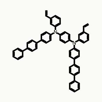 C=Cc1cccc(N(c2ccc(-c3ccc(-c4ccccc4)cc3)cc2)c2ccc(N(c3ccc(-c4ccc(-c5ccccc5)cc4)cc3)c3cccc(C=C)c3)cc2)c1